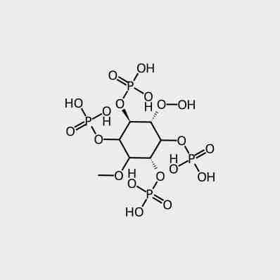 COC1C(OP(=O)(O)O)[C@@H](OP(=O)(O)O)[C@H](OO)C(OP(=O)(O)O)[C@@H]1OP(=O)(O)O